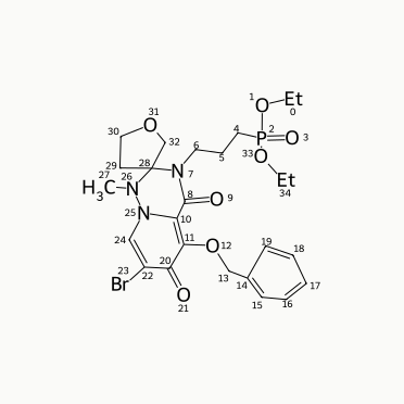 CCOP(=O)(CCCN1C(=O)c2c(OCc3ccccc3)c(=O)c(Br)cn2N(C)C12CCOC2)OCC